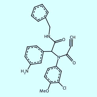 C#CC(=O)N(c1ccc(OC)c(Cl)c1)C(C(=O)NCc1ccccc1)c1cccc(N)c1